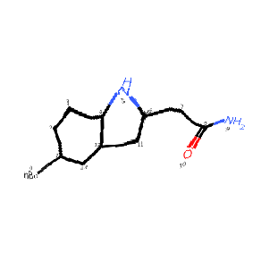 CCCCC1CCC2NC(CC(N)=O)CC2C1